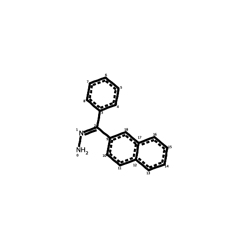 N/N=C(/c1ccccc1)c1ccc2ccccc2c1